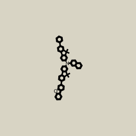 CC1(C)c2cc(-c3ccccc3)ccc2-c2ccc(N(c3ccc4c(c3)C(C)(C)c3cc(-c5ccc6c(c5)oc5ccccc56)ccc3-4)c3ccc4ccccc4c3)cc21